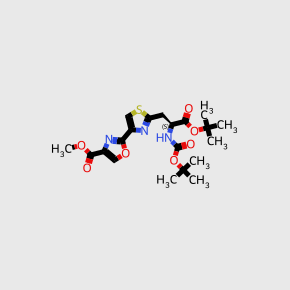 COC(=O)c1coc(-c2csc(C[C@H](NC(=O)OC(C)(C)C)C(=O)OC(C)(C)C)n2)n1